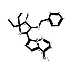 CCC1(CC)OC(c2ccc3c(N)ccnn23)[C@H](OCc2ccccc2)[C@@H]1C